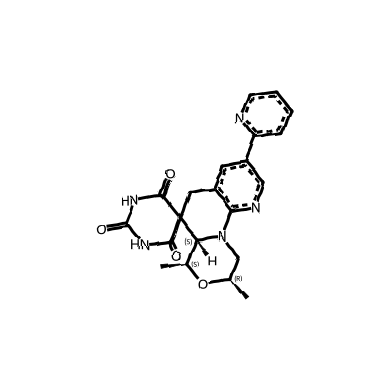 C[C@@H]1CN2c3ncc(-c4ccccn4)cc3CC3(C(=O)NC(=O)NC3=O)[C@H]2[C@H](C)O1